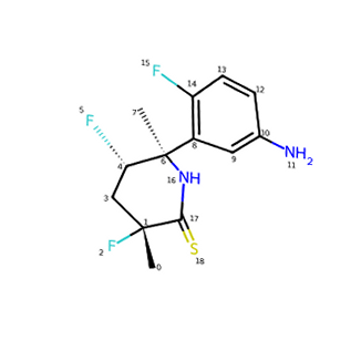 C[C@@]1(F)C[C@H](F)[C@@](C)(c2cc(N)ccc2F)NC1=S